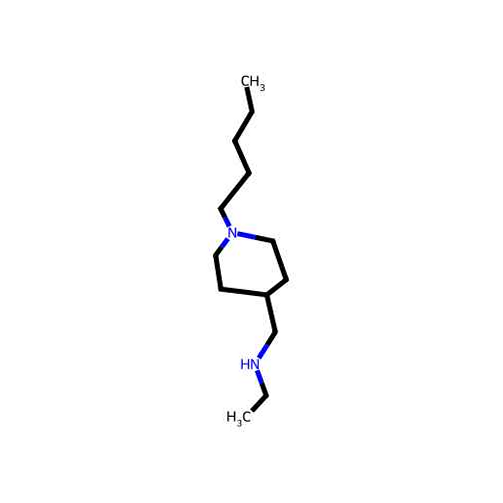 CCCCCN1CCC(CNCC)CC1